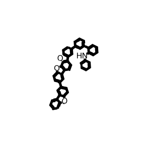 c1ccc(Nc2ccccc2-c2cccc(-c3ccc4oc5c(ccc6c7cc(-c8ccc9oc%10ccccc%10c9c8)ccc7oc65)c4c3)c2)cc1